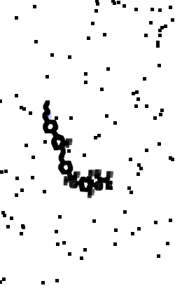 CC/C=C/C1CCC(c2ccc(CCC3CCC(C(F)(F)Oc4cc(F)c(OC(F)=C(F)F)c(F)c4)CC3)c(F)c2)CC1